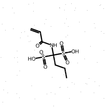 C=CC(=O)NC(CCC)(S(=O)(=O)O)S(=O)(=O)O